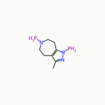 Cc1nn(P)c2c1CCN(P)CC2